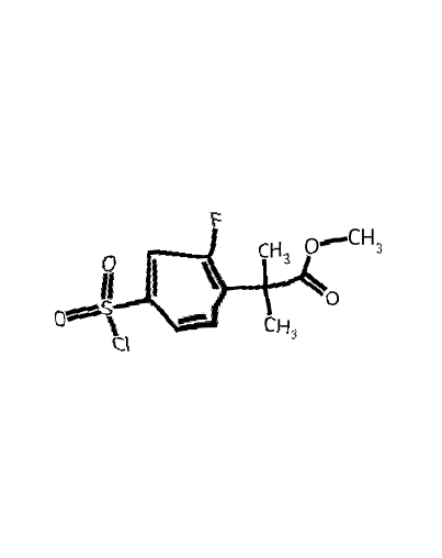 COC(=O)C(C)(C)c1ccc(S(=O)(=O)Cl)cc1F